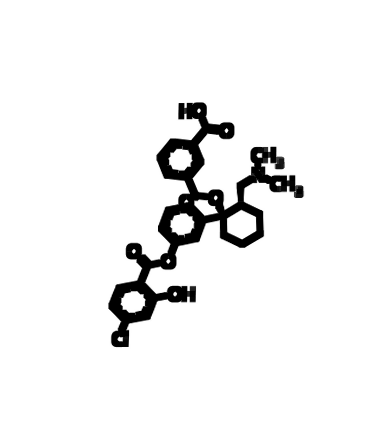 CN(C)C[C@H]1CCCC[C@]1(OC(=O)c1cccc(C(=O)O)c1)c1cccc(OC(=O)c2ccc(Cl)cc2O)c1